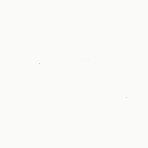 Cc1cc(-c2ccccn2)ccc1OCc1c(C)cccc1C(=O)OC(C)C